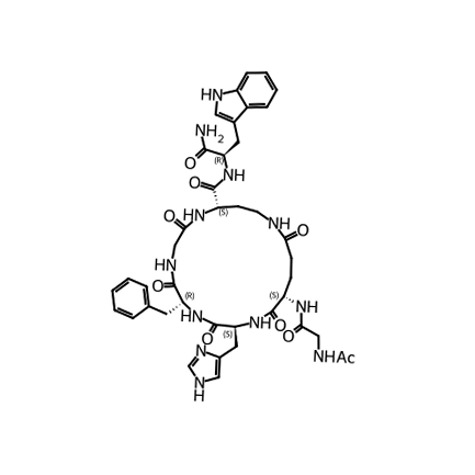 CC(=O)NCC(=O)N[C@H]1CCC(=O)NCC[C@@H](C(=O)N[C@H](Cc2c[nH]c3ccccc23)C(N)=O)NC(=O)CNC(=O)[C@@H](Cc2ccccc2)NC(=O)[C@H](Cc2c[nH]cn2)NC1=O